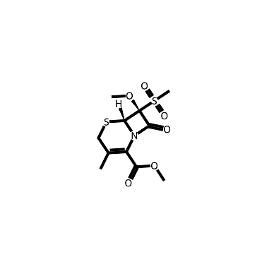 COC(=O)C1=C(C)CS[C@H]2N1C(=O)[C@@]2(OC)S(C)(=O)=O